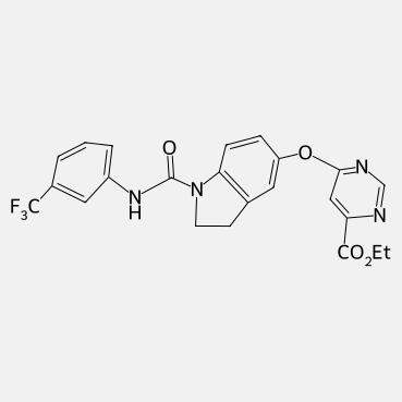 CCOC(=O)c1cc(Oc2ccc3c(c2)CCN3C(=O)Nc2cccc(C(F)(F)F)c2)ncn1